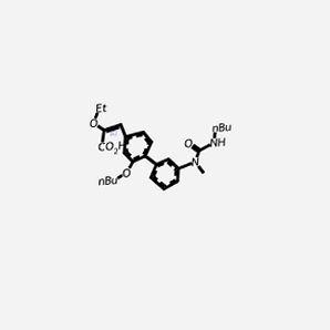 CCCCNC(=O)N(C)c1cccc(-c2ccc(/C=C(/OCC)C(=O)O)cc2OCCCC)c1